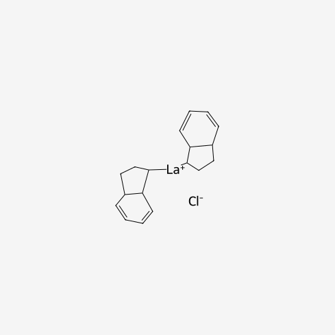 C1=CC2CC[CH]([La+][CH]3CCC4C=CC=CC43)C2C=C1.[Cl-]